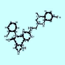 CN1C[C@H](CNc2ncc3c4[nH]ncc4c(=O)n(-c4ccccc4F)c3n2)Oc2cc(F)ccc21